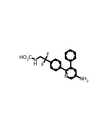 Nc1cnc(-c2ccc(C(F)(F)CNC(=O)O)cc2)c(-c2ccccc2)c1